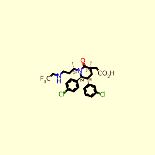 C[C@@H](CCNCC(F)(F)F)N1C(=O)[C@@](C)(CC(=O)O)C[C@H](c2cccc(Cl)c2)[C@H]1c1ccc(Cl)cc1